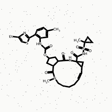 CCc1csc(-c2ccc(C)cc2NC(=O)OC2CC3C(=O)NC4(C(=O)NS(=O)(=O)C5(C)CC5)CC4C=CCCCCN(C)C(=O)C3C2)n1